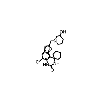 O=C1Nc2c(Cl)cc3cc(CN4CCCC(O)C4)oc3c2C2(CCCCC2)N1